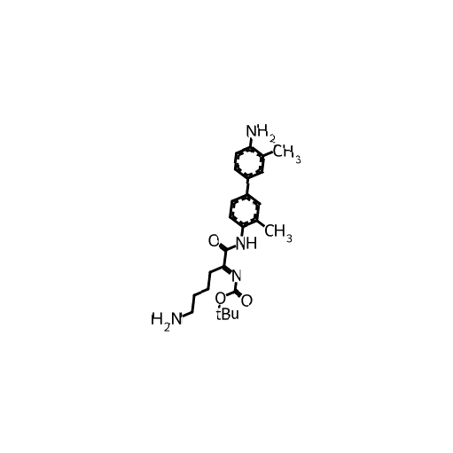 Cc1cc(-c2ccc(NC(=O)C(CCCCN)=NC(=O)OC(C)(C)C)c(C)c2)ccc1N